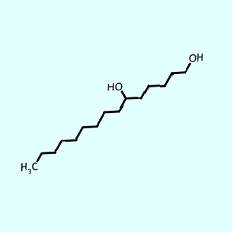 CCCCCCCCCC(O)CCCCCO